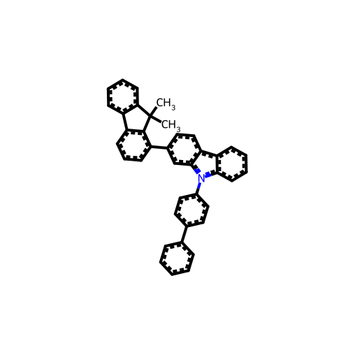 CC1(C)c2ccccc2-c2cccc(-c3ccc4c5ccccc5n(-c5ccc(-c6ccccc6)cc5)c4c3)c21